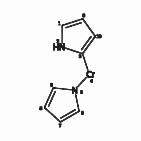 c1c[nH][c]([Cr][n]2cccc2)c1